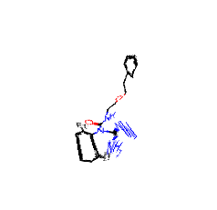 CCc1cccc(CC)c1N(C(=N)N)C(=O)NCCOCCc1ccccc1